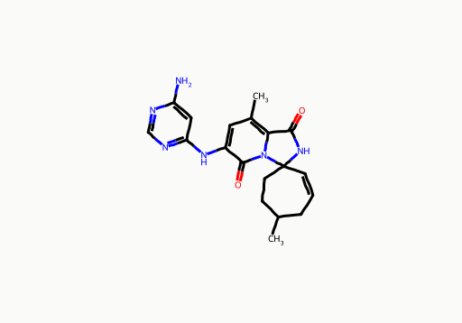 Cc1cc(Nc2cc(N)ncn2)c(=O)n2c1C(=O)NC21C=CCC(C)CC1